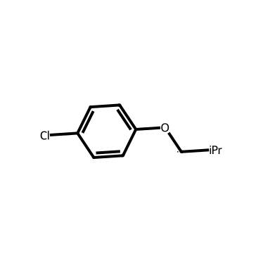 CC(C)[CH]Oc1ccc(Cl)cc1